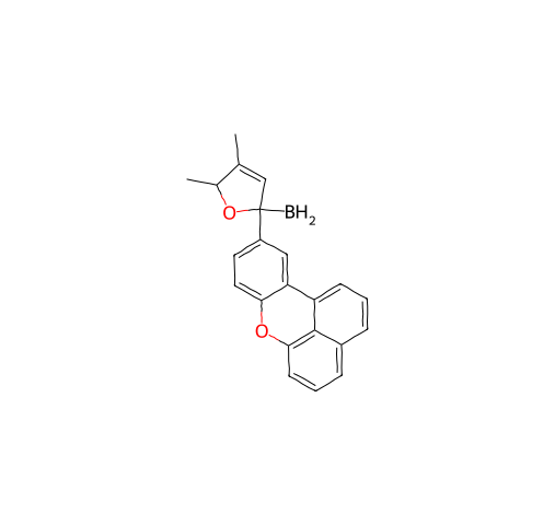 BC1(c2ccc3c(c2)-c2cccc4cccc(c24)O3)C=C(C)C(C)O1